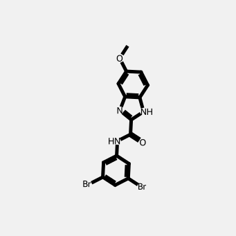 COc1ccc2[nH]c(C(=O)Nc3cc(Br)cc(Br)c3)nc2c1